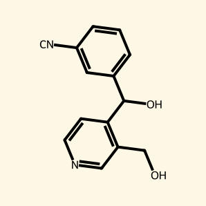 [C-]#[N+]c1cccc(C(O)c2ccncc2CO)c1